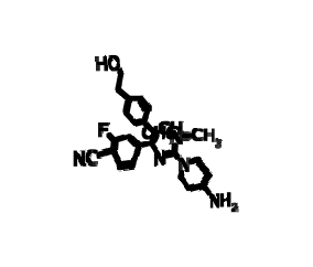 C/C(=C(\N=C(/N(C)C=O)N1CCC(N)CC1)c1ccc(C#N)c(F)c1)c1ccc(CCO)cc1